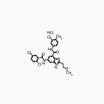 COCCc1nc2c(C(=O)Nc3ccc(C)c(Cl)c3)cc(NC(=O)c3cc(Cl)ccc3Cl)cc2[nH]1.Cl